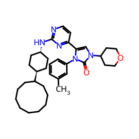 Cc1cccc(-n2c(-c3ccnc(N[C@H]4CC[C@H](C5CCCCCCCCC5)CC4)n3)cn(C3CCOCC3)c2=O)c1